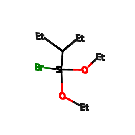 CCO[Si](Br)(OCC)C(CC)CC